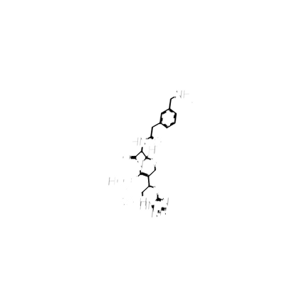 NCc1cccc(CC(=O)NC2C(=O)N3C(C(=O)O)=C(C(CS(=O)(=O)O)Sc4nnn[nH]4)CS[C@@H]23)c1